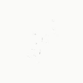 CCNc1nc(Nc2cc(F)c(C(=O)N3CCN(C)CC3)cc2OC)ncc1C(F)(F)F